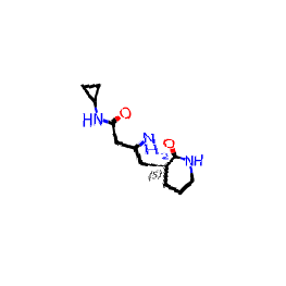 NC(CC(=O)NC1CC1)C[C@@H]1CCCNC1=O